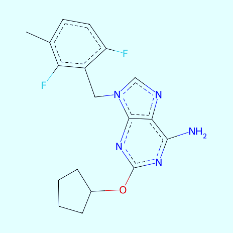 Cc1ccc(F)c(Cn2cnc3c(N)nc(OC4CCCC4)nc32)c1F